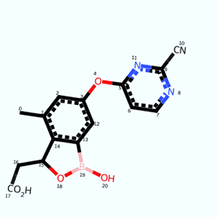 Cc1cc(Oc2ccnc(C#N)n2)cc2c1C(CC(=O)O)OB2O